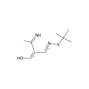 CC(=N)C(=C\O)/C=N/SC(C)(C)C